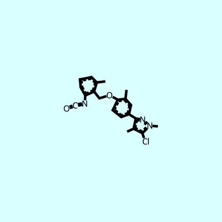 Cc1cc(-c2nn(C)c(Cl)c2C)ccc1OCc1c(C)cccc1N=C=O